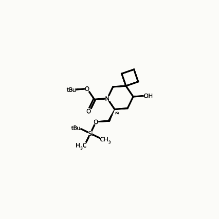 CC(C)(C)OC(=O)N1CC2(CCC2)C(O)C[C@H]1CO[Si](C)(C)C(C)(C)C